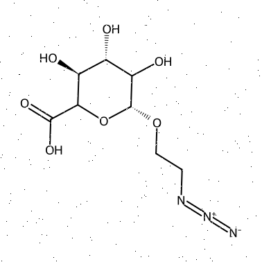 [N-]=[N+]=NCCO[C@@H]1OC(C(=O)O)[C@@H](O)[C@H](O)C1O